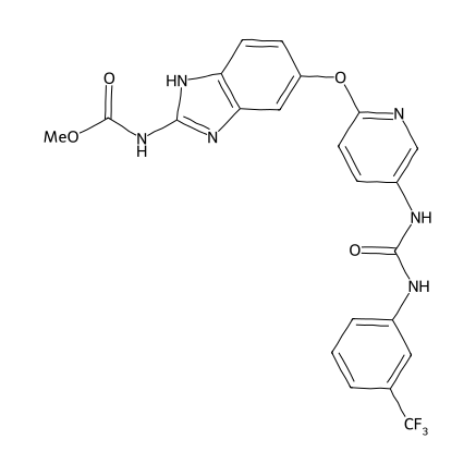 COC(=O)Nc1nc2cc(Oc3ccc(NC(=O)Nc4cccc(C(F)(F)F)c4)cn3)ccc2[nH]1